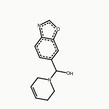 OC(c1ccc2ncoc2c1)N1CC=CCC1